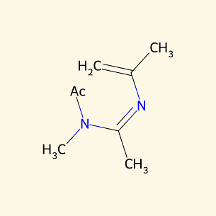 C=C(C)/N=C(/C)N(C)C(C)=O